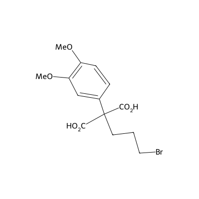 COc1ccc(C(CCCBr)(C(=O)O)C(=O)O)cc1OC